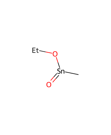 CC[O][Sn]([CH3])=[O]